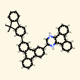 CC1(C)c2ccccc2-c2ccc(-c3ccc4c5ccccc5c5ccc(-c6cnc7c8ccccc8c8ccccc8c7n6)cc5c4c3)cc21